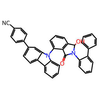 N#Cc1ccc(-c2ccc3c4ccccc4n(-c4cccc5c4C(=O)N(c4ccccc4-c4ccccc4)C5O)c3c2)cc1